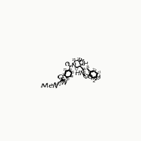 CNc1nc2ccc(C(=O)N(CC(C)C)C[C@@H](O)[C@H](Cc3ccccc3)NC(=O)O)cc2o1